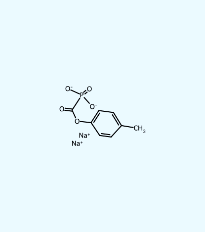 Cc1ccc(OC(=O)P(=O)([O-])[O-])cc1.[Na+].[Na+]